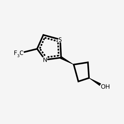 O[C@H]1C[C@@H](c2nc(C(F)(F)F)cs2)C1